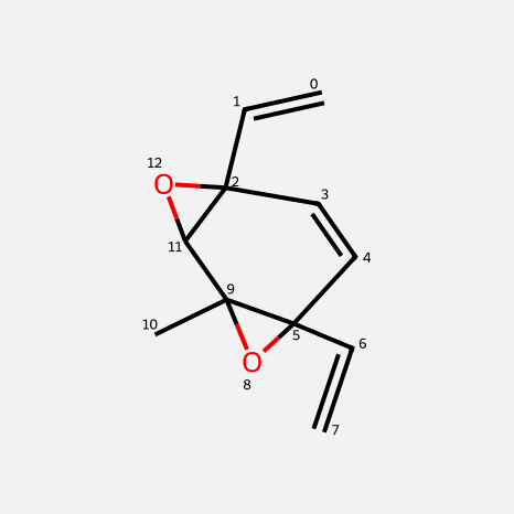 C=CC12C=CC3(C=C)OC3(C)C1O2